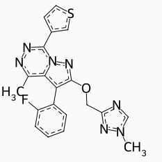 Cc1nnc(-c2ccsc2)n2nc(OCc3ncn(C)n3)c(-c3ccccc3F)c12